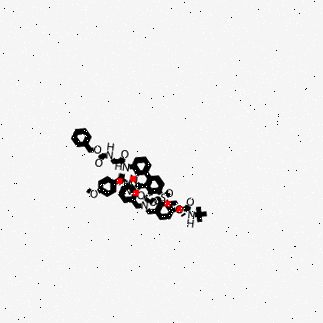 COc1ccc(CN(Cc2ccc(OC)cc2)S(=O)(=O)c2c(S(=O)(=O)CCOC(=O)NC(C)(C)C)ccc(-c3cccc(NC(=O)CNC(=O)OCc4ccccc4)c3N)c2-c2nnn(Cc3ccc(OC)cc3)n2)cc1